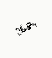 C[C@H]1C[C@H](n2ccc3c(N)ncnc32)O[C@]1(C=O)CO